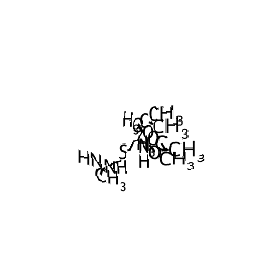 CC(=N)NCCSCC[C@H](NC(=O)OC(C)(C)C)C(=O)OC(C)(C)C